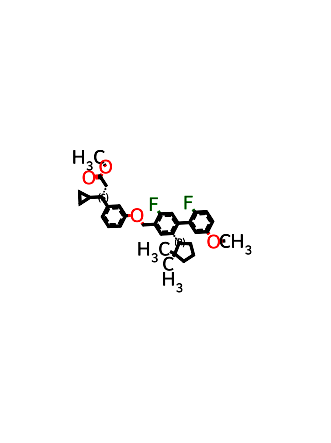 COC(=O)C[C@H](c1cccc(OCc2cc([C@@H]3CCCC3(C)C)c(-c3cc(OC)ccc3F)cc2F)c1)C1CC1